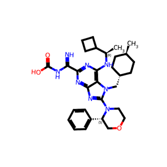 C[C@@H](Nc1nc(C(=N)NC(=O)O)nc2nc(N3CCOC[C@@H]3c3ccccc3)n(C[C@H]3CC[C@H](C)CC3)c12)C1CCC1